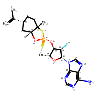 C=C(C)[C@@H]1CC[C@]2(C)S[P@](=S)(O[C@H]3[C@@H](F)[C@H](n4cnc5c(N)ncnc54)O[C@@H]3CC)O[C@H]2C1